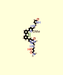 COc1nc(-c2cccc(-c3cccc(-c4cc5c(=O)n(C)c(CNC[C@@H](O)CC(=O)N(C)C)nn5c4)c3Cl)c2Cl)ccc1CNC[C@H]1CCC(=O)N1